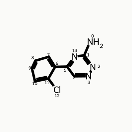 Nc1nncc(-c2ccccc2Cl)n1